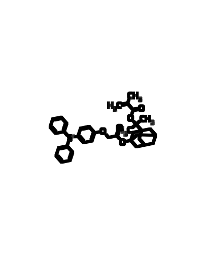 C=C(C)C(=O)OC(C)(C)C12CC3CC(CC(OC(=O)COc4ccc([S+](c5ccccc5)c5ccccc5)cc4)(C3)C1)C2